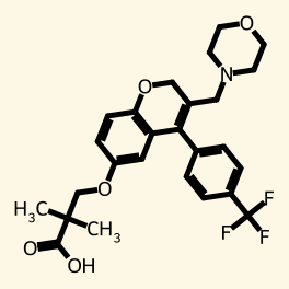 CC(C)(COc1ccc2c(c1)C(c1ccc(C(F)(F)F)cc1)=C(CN1CCOCC1)CO2)C(=O)O